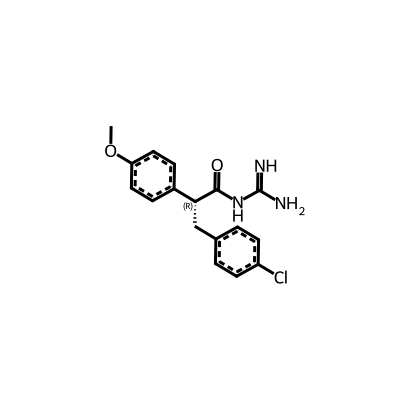 COc1ccc([C@@H](Cc2ccc(Cl)cc2)C(=O)NC(=N)N)cc1